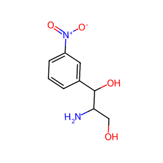 NC(CO)C(O)c1cccc([N+](=O)[O-])c1